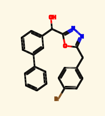 OC(c1cccc(-c2ccccc2)c1)c1nnc(Cc2ccc(Br)cc2)o1